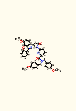 COc1ccc(CN(Cc2ccc(OC)cc2)C(=O)c2cccc(N3CC(c4ccc(OC)c(Oc5ccccc5C#N)c4)CC3=O)n2)cc1